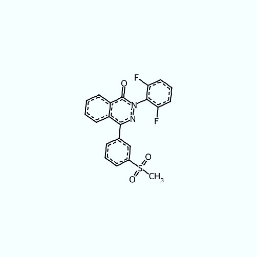 CS(=O)(=O)c1cccc(-c2nn(-c3c(F)cccc3F)c(=O)c3ccccc23)c1